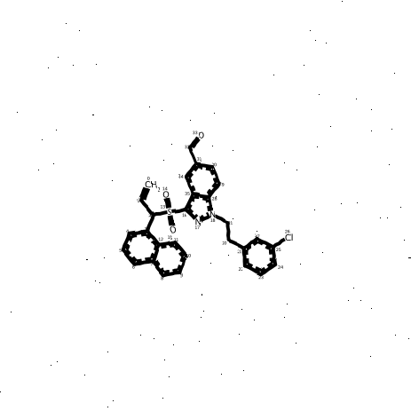 C=CC(c1cccc2ccccc12)S(=O)(=O)c1nn(CCc2cccc(Cl)c2)c2ccc(C=O)cc12